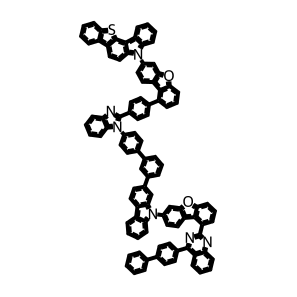 c1ccc(-c2ccc(-c3nc(-c4cccc5oc6cc(-n7c8ccccc8c8ccc(-c9cccc(-c%10ccc(-n%11c(-c%12ccc(-c%13cccc%14oc%15cc(-n%16c%17ccccc%17c%17c%18sc%19ccccc%19c%18ccc%17%16)ccc%15c%13%14)cc%12)nc%12ccccc%12%11)cc%10)c9)cc87)ccc6c45)nc4ccccc34)cc2)cc1